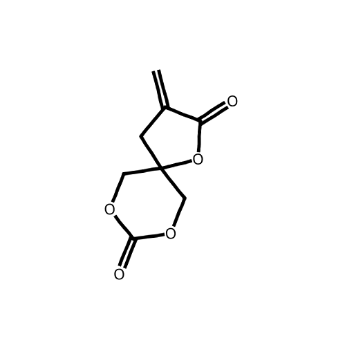 C=C1CC2(COC(=O)OC2)OC1=O